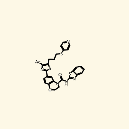 CC(=O)c1nc(-c2ccc3c(c2)N(C(=O)Nc2nc4ccccc4s2)CCO3)sc1CCCSc1ccncc1